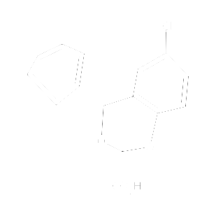 O=C(O)[C@H]1Oc2ccc(Cl)cc2[C@@H](c2ccccc2)O1